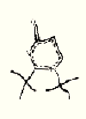 CC(C)(C)c1nc(=O)ccn1C(C)(C)C